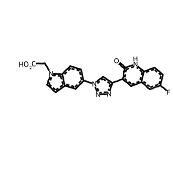 O=C(O)Cn1ccc2cc(-n3cc(-c4cc5cc(F)ccc5[nH]c4=O)nn3)ccc21